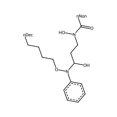 CCCCCCCCCCCCCCON(c1ccccc1)C(O)CCN(O)C(=O)CCCCCCCCC